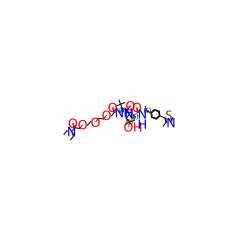 CCN(CC)C(=O)COCCOCCOCC(=O)N[C@H](C(=O)N1C[C@H](O)C[C@H]1C(=O)N[C@@H](C)c1ccc(-c2scnc2C)cc1)C(C)(C)C